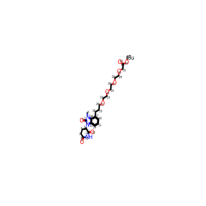 Cn1c(=O)n([C@H]2CCC(=O)NC2=O)c2cccc(CCCOCCOCCOCCOCC(=O)OC(C)(C)C)c21